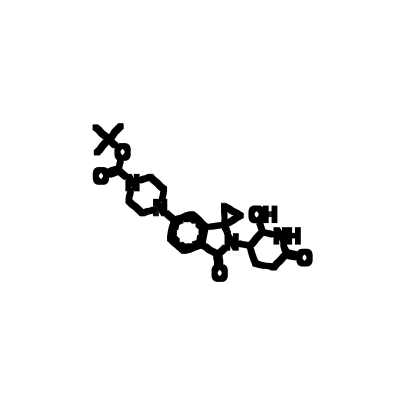 CC(C)(C)OC(=O)N1CCN(c2ccc3c(c2)C2(CC2)N(C2CCC(=O)NC2O)C3=O)CC1